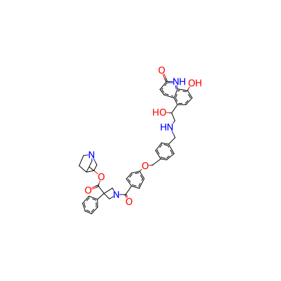 O=C(c1ccc(OCc2ccc(CNCC(O)c3ccc(O)c4[nH]c(=O)ccc34)cc2)cc1)N1CC(C(=O)OC2CN3CCC2CC3)(c2ccccc2)C1